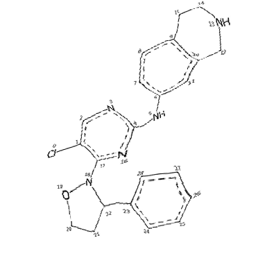 Clc1cnc(Nc2ccc3c(c2)CNCC3)nc1N1OCCC1c1ccccc1